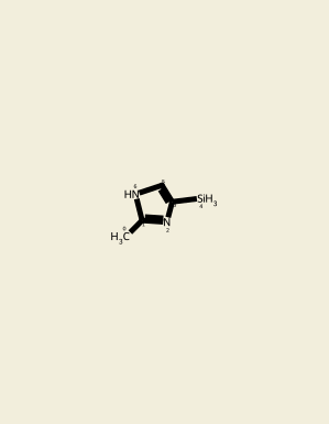 Cc1nc([SiH3])c[nH]1